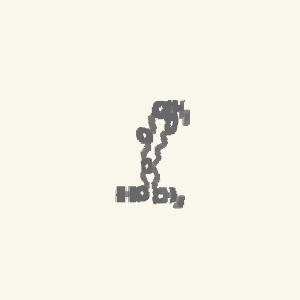 CCCCCCCCOC.OCCOCCOCCO